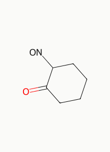 O=NC1CCCCC1=O